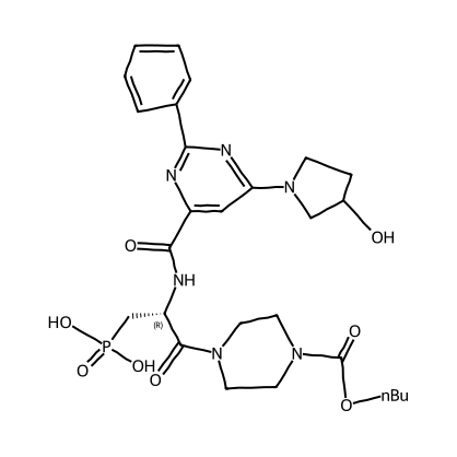 CCCCOC(=O)N1CCN(C(=O)[C@H](CP(=O)(O)O)NC(=O)c2cc(N3CCC(O)C3)nc(-c3ccccc3)n2)CC1